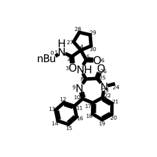 CCCCNC(=O)C1(C(=O)NC2N=C(c3ccccc3)c3ccccc3N(C)C2=O)CCCC1